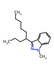 CCCCCC(CCC)c1nn(C)c2ccccc12